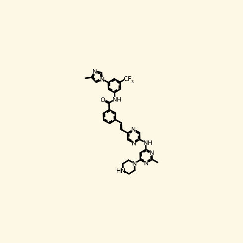 Cc1cn(-c2cc(NC(=O)c3cccc(/C=C/c4cnc(Nc5cc(N6CCNCC6)nc(C)n5)cn4)c3)cc(C(F)(F)F)c2)cn1